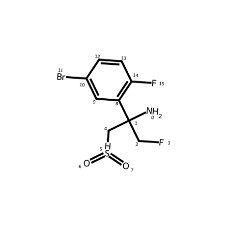 NC(CF)(C[SH](=O)=O)c1cc(Br)ccc1F